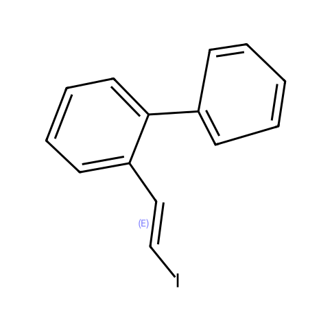 I/C=C/c1ccccc1-c1ccccc1